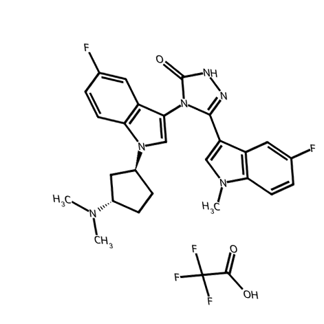 CN(C)[C@H]1CC[C@H](n2cc(-n3c(-c4cn(C)c5ccc(F)cc45)n[nH]c3=O)c3cc(F)ccc32)C1.O=C(O)C(F)(F)F